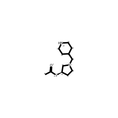 CC(=O)S[C@@H]1CCN(CC2CCNCC2)C1